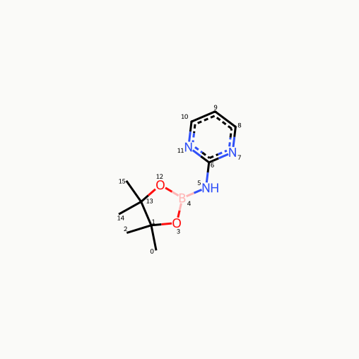 CC1(C)OB(Nc2ncccn2)OC1(C)C